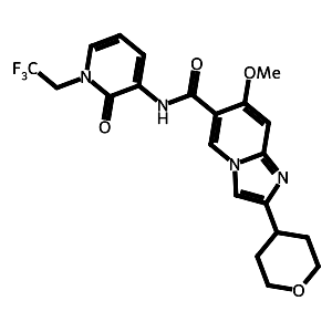 COc1cc2nc(C3CCOCC3)cn2cc1C(=O)Nc1cccn(CC(F)(F)F)c1=O